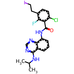 CC(C)Nc1ncnc2c(NC(=O)c3c(Cl)ccc(CCI)c3F)cccc12